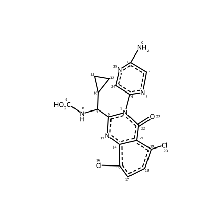 Nc1cnc(-n2c(C(NC(=O)O)C3CC3)nc3c(Cl)ccc(Cl)c3c2=O)cn1